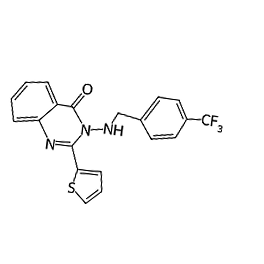 O=c1c2ccccc2nc(-c2cccs2)n1NCc1ccc(C(F)(F)F)cc1